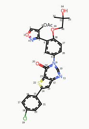 CC(=O)Oc1conc1-c1cc(-n2cnc3cc(-c4ccc(Cl)cc4)sc3c2=O)ccc1OCC(C)(C)O